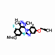 C#CCOc1ccc2c(c1)ncn2-c1c(-c2c(F)cc(OC)cc2F)c(C)nn1C